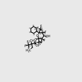 CCC(C)(C(=O)OC1(C(F)(F)F)OC(C2CCCCC2)(C(F)(F)F)C(F)(F)C(O)C1(F)F)C(F)(F)F